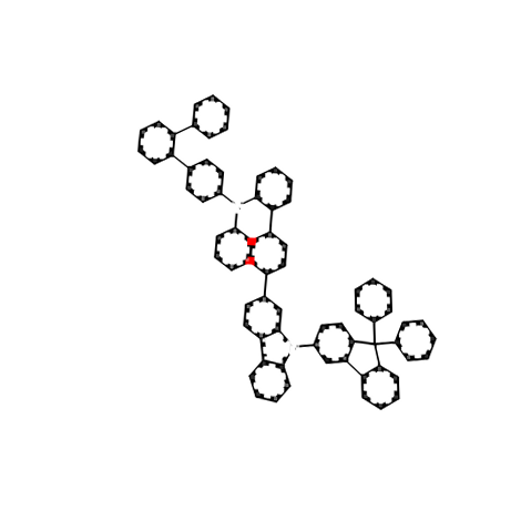 c1ccc(-c2ccccc2-c2ccc(N(c3ccccc3)c3ccccc3-c3ccc(-c4ccc5c6ccccc6n(-c6ccc7c(c6)-c6ccccc6C7(c6ccccc6)c6ccccc6)c5c4)cc3)cc2)cc1